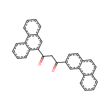 O=C(CC(=O)c1cc2ccccc2c2ccccc12)c1ccc2ccc3ccccc3c2c1